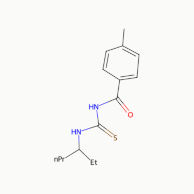 CCCC(CC)NC(=S)NC(=O)c1ccc(C)cc1